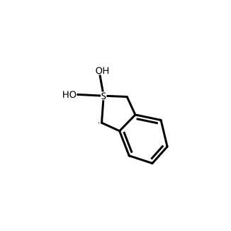 OS1(O)[CH]c2ccccc2C1